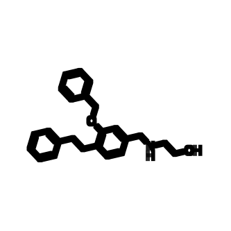 OCCNCc1ccc(CCc2ccccc2)c(OCc2ccccc2)c1